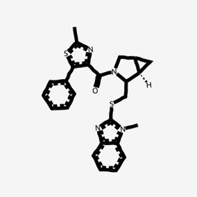 Cc1nc(C(=O)N2CC3C[C@H]3C2CSc2nc3ccccc3n2C)c(-c2ccccc2)s1